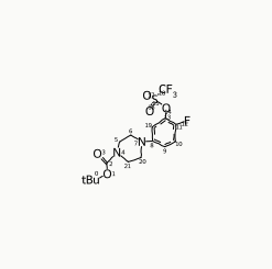 CC(C)(C)OC(=O)N1CCN(c2ccc(F)c(OS(=O)(=O)C(F)(F)F)c2)CC1